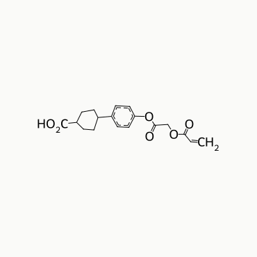 C=CC(=O)OCC(=O)Oc1ccc(C2CCC(C(=O)O)CC2)cc1